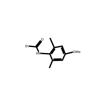 CCC(=O)Nc1c(C)cc(OC)cc1C